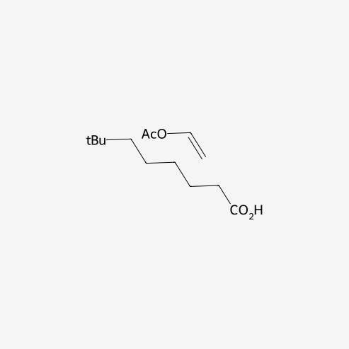 C=COC(C)=O.CC(C)(C)CCCCCC(=O)O